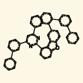 c1ccc(-c2cccc(-c3cc(-c4ccccc4)nc(-c4cccc5oc6ccc(-c7ccccc7-c7cccc(-c8ccccc8)c7)cc6c45)n3)c2)cc1